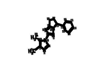 Cc1ncn(-c2nc3n(n2)C(c2ccccc2)CC3)c1C